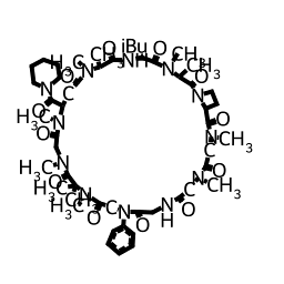 CC[C@H](C)C1NC(=O)C(C)N(C)C(=O)CC(C(=O)N2CCCCC2)N(C)C(=O)CN(C)C(=O)C(C)(C)N(C)C(=O)CN(c2ccccc2)C(=O)CNC(=O)CN(C)C(=O)CN(C)C(=O)C2CCN2C(=O)C(C)N(C)C1=O